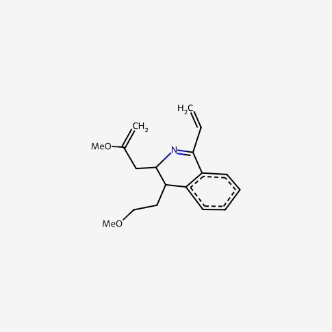 C=CC1=NC(CC(=C)OC)C(CCOC)c2ccccc21